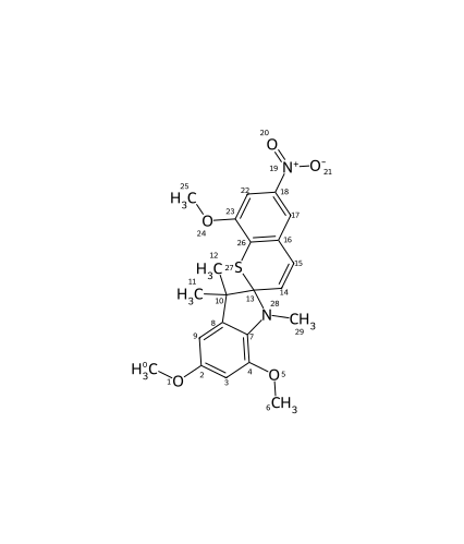 COc1cc(OC)c2c(c1)C(C)(C)C1(C=Cc3cc([N+](=O)[O-])cc(OC)c3S1)N2C